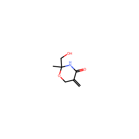 C=C1COC(C)(CO)NC1=O